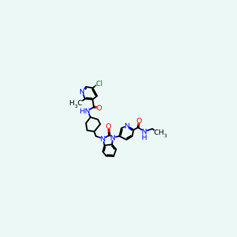 CCNC(=O)c1ccc(-n2c(=O)n(CC3CCC(NC(=O)c4cc(Cl)cnc4C)CC3)c3ccccc32)cn1